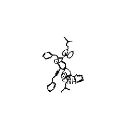 CC(C)CCOC(=O)c1c(Cc2ccccc2)oc2c(C#CCc3ccccc3)cc(CC(C(=O)N[C@@H](CO)C(C)C)c3ccccc3)cc12